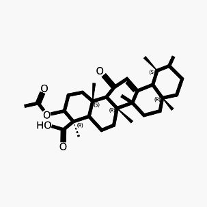 CC(=O)OC1CC[C@@]2(C)C(CC[C@]3(C)C2C(=O)C=C2C4[C@@H](C)C(C)CC[C@]4(C)CCC23C)[C@@]1(C)C(=O)O